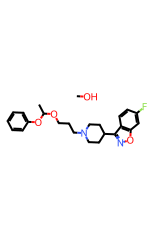 CC(OCCCN1CCC(c2noc3cc(F)ccc23)CC1)Oc1ccccc1.CO